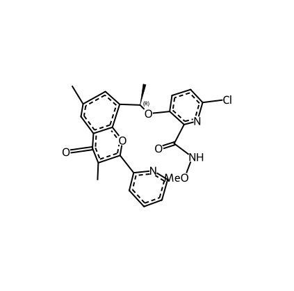 CONC(=O)c1nc(Cl)ccc1O[C@H](C)c1cc(C)cc2c(=O)c(C)c(-c3ccccn3)oc12